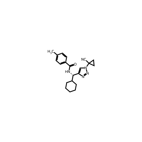 Cc1ccc(C(=O)N[C@H](c2cn(C3(C#N)CC3)nn2)C2CCCCC2)cc1